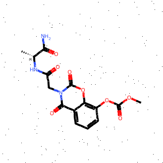 COC(=O)Oc1cccc2c(=O)n(CC(=O)N[C@H](C)C(N)=O)c(=O)oc12